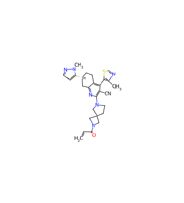 C=CC(=O)N1CC2(CCN(c3nc4c(c(-c5scnc5C)c3C#N)CC[C@@H](c3ccnn3C)C4)C2)C1